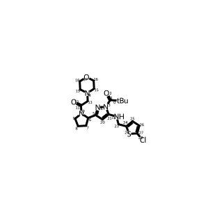 CC(C)(C)C(=O)n1nc(C2CCCN2C(=O)CN2CCOCC2)cc1NCc1ccc(Cl)s1